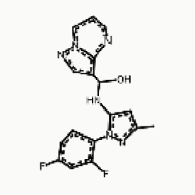 Cc1cc(NC(O)c2cnn3cccnc23)n(-c2ccc(F)cc2F)n1